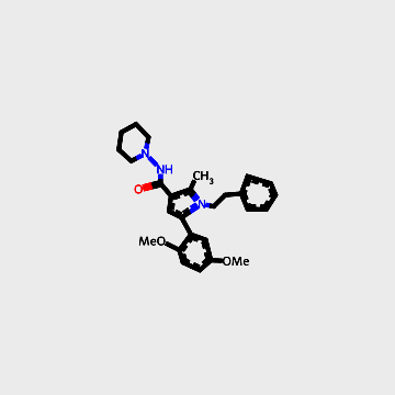 COc1ccc(OC)c(-c2cc(C(=O)NN3CCCCC3)c(C)n2CCc2ccccc2)c1